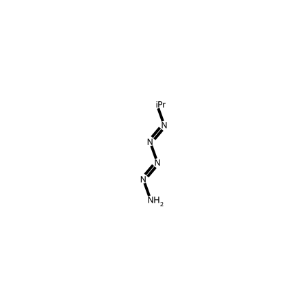 CC(C)N=NN=NN